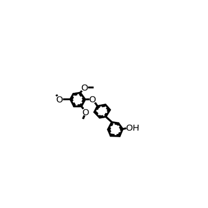 COc1cc(OC)c(Oc2ccc(-c3cccc(O)c3)cc2)c(OC)c1